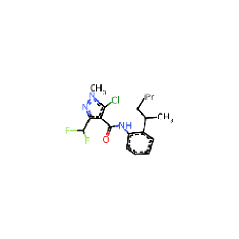 CC(C)CC(C)c1ccccc1NC(=O)c1c(C(F)F)nn(C)c1Cl